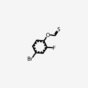 Fc1cc(Br)ccc1OC=S